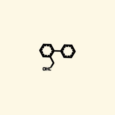 O=CCc1ccccc1-c1ccccc1